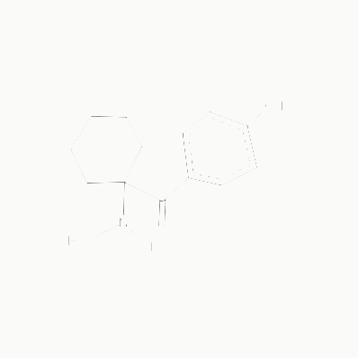 Cc1ccc(C(=S)C2(N(C)C)CCCCC2)cc1